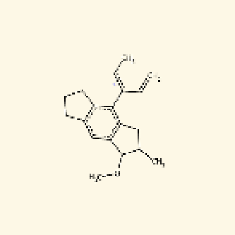 C=C/C(=C\C)c1c2c(cc3c1CC(C)C3OC)CCC2